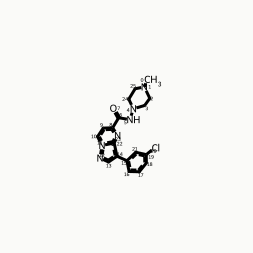 CN1CCN(NC(=O)c2ccn3ncc(-c4cccc(Cl)c4)c3n2)CC1